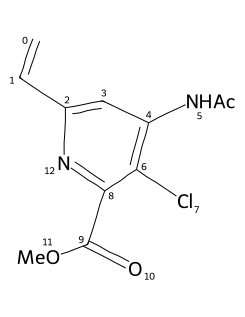 C=Cc1cc(NC(C)=O)c(Cl)c(C(=O)OC)n1